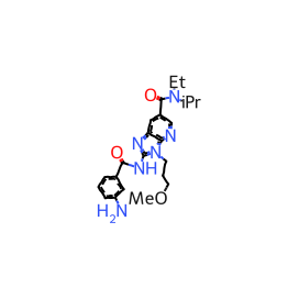 CCN(C(=O)c1cnc2c(c1)nc(NC(=O)c1cccc(N)c1)n2CCCOC)C(C)C